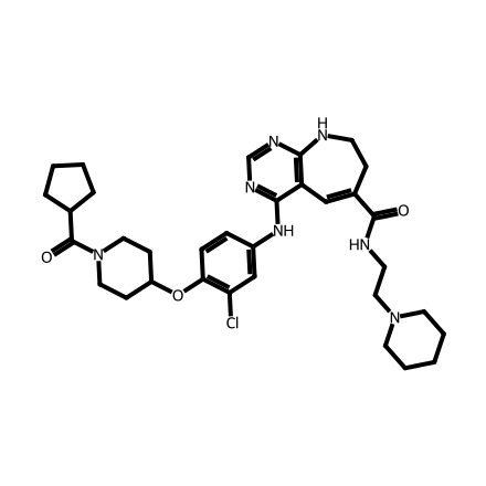 O=C(NCCN1CCCCC1)C1=Cc2c(ncnc2Nc2ccc(OC3CCN(C(=O)C4CCCC4)CC3)c(Cl)c2)NCC1